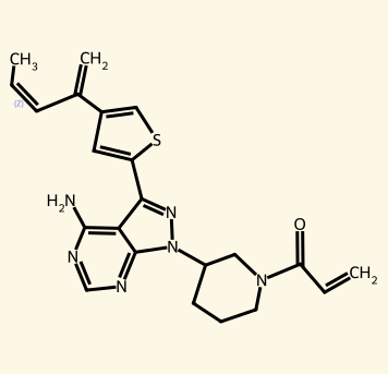 C=CC(=O)N1CCCC(n2nc(-c3cc(C(=C)/C=C\C)cs3)c3c(N)ncnc32)C1